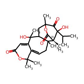 CC(C)C1(O)C(=O)C2(C)CC3C(C)(O)C4=CC(=O)OC(C)(C)C4=CCC3(C)[C@]1(C)C(=O)O2